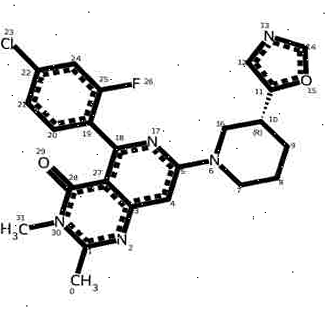 Cc1nc2cc(N3CCC[C@@H](c4cnco4)C3)nc(-c3ccc(Cl)cc3F)c2c(=O)n1C